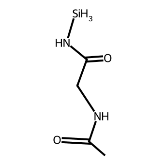 CC(=O)NCC(=O)N[SiH3]